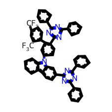 FC(F)(F)c1ccc(-c2cc(-n3c4ccccc4c4ccc(-c5nc(-c6ccccc6)nc(-c6ccccc6)n5)cc43)ccc2-c2nc(-c3ccccc3)nc(-c3ccccc3)n2)c(C(F)(F)F)c1